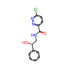 O=C(NC[C@H](O)c1ccccc1)c1ccc(Cl)nn1